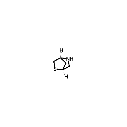 C1S[C@@H]2CN[C@H]1C2